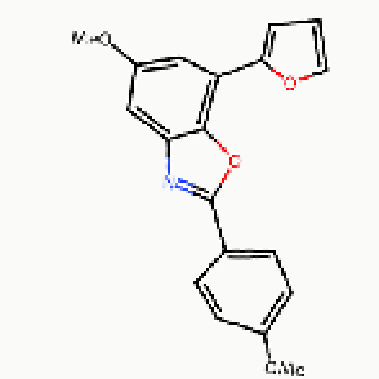 COc1ccc(-c2nc3cc(OC)cc(-c4ccco4)c3o2)cc1